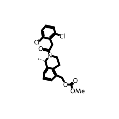 COC(=O)OCc1cccc2c1CCN(C(=O)Cc1c(Cl)cccc1Cl)[C@H]2C